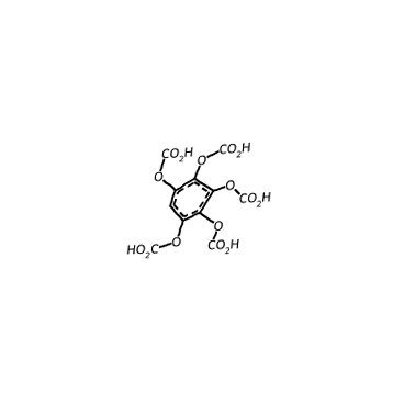 O=C(O)Oc1cc(OC(=O)O)c(OC(=O)O)c(OC(=O)O)c1OC(=O)O